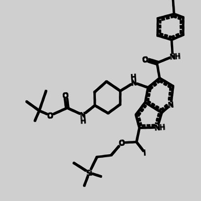 CC(C)(C)OC(=O)NC1CCC(Nc2c(C(=O)Nc3ccc(F)cc3)cnc3[nH]c(C(I)OCC[Si](C)(C)C)cc23)CC1